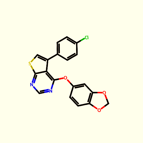 Clc1ccc(-c2csc3ncnc(Oc4ccc5c(c4)OCO5)c23)cc1